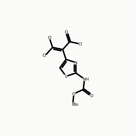 CC(C)(C)OC(=O)Nc1nc(C(C(=O)Cl)=C(Cl)Cl)cs1